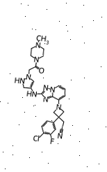 CN1CCN(C(=O)CN2C=C(Nc3nc4c(N5CC(CC#N)(c6ccc(Cl)c(F)c6)C5)cccn4n3)CN2)CC1